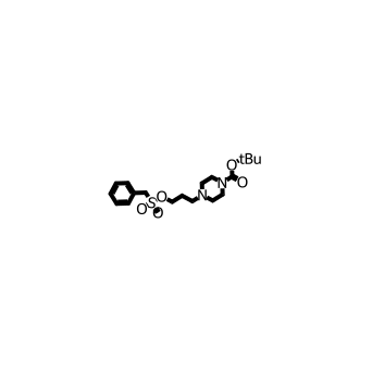 CC(C)(C)OC(=O)N1CCN(CCCOS(=O)(=O)Cc2ccccc2)CC1